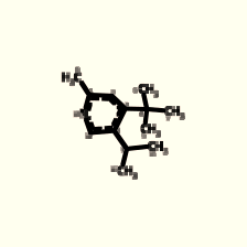 Cc1cc(C(C)(C)C)c(C(C)C)cn1